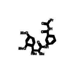 CCCCC(c1ccc(OC)cc1OC)C(C(=O)Nc1cccc(C(=O)NC(=O)C(C)C)c1)C(C)(C)C